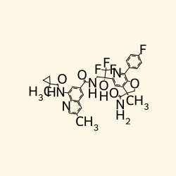 Cc1cnc2c(NC(=O)C3(C)CC3)cc(C(=O)NC[C@](O)(c3cc4c(c(-c5ccc(F)cc5)n3)OC[C@]4(C)C(N)=O)C(F)(F)F)cc2c1